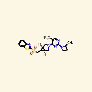 CC1CCN1c1ncc(C(F)(F)F)c(N2C[C@@H]3C(CS(=O)(=O)c4nc5ccccc5s4)[C@@H]3C2)n1